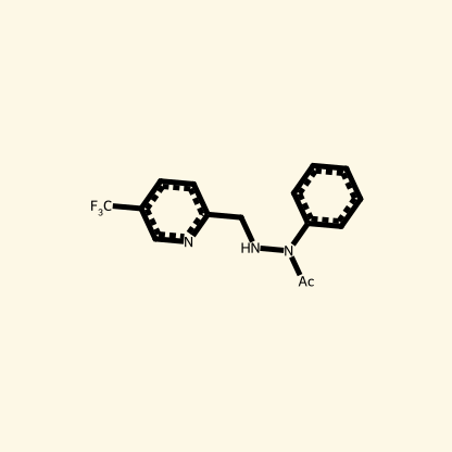 CC(=O)N(NCc1ccc(C(F)(F)F)cn1)c1ccccc1